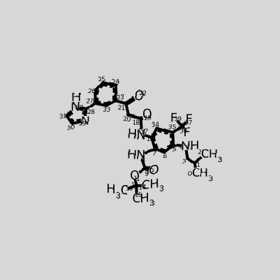 CC(C)CNc1cc(NC(=O)OC(C)(C)C)c(NC(=O)CC(=O)c2cccc(-c3ncc[nH]3)c2)cc1C(F)(F)F